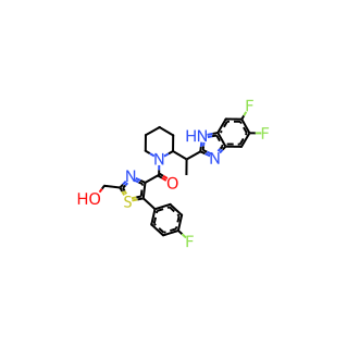 CC(c1nc2cc(F)c(F)cc2[nH]1)C1CCCCN1C(=O)c1nc(CO)sc1-c1ccc(F)cc1